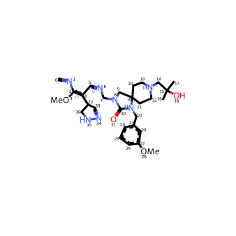 C=N/C(OC)=C(\C=N/CN1CC2(CCN(CC(C)(C)O)CC2)N(Cc2cccc(OC)c2)C1=O)C1C=NNC1